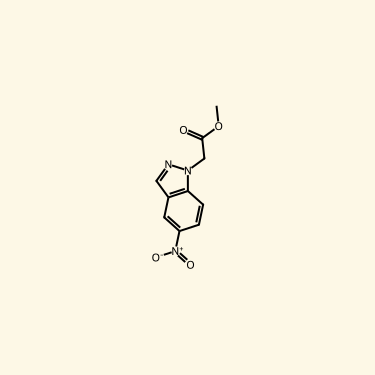 COC(=O)Cn1ncc2cc([N+](=O)[O-])ccc21